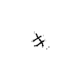 O=C(O)C(Cl)(Cl)C(Cl)(Cl)Cl